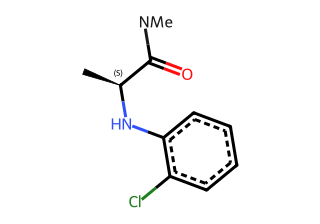 CNC(=O)[C@H](C)Nc1ccccc1Cl